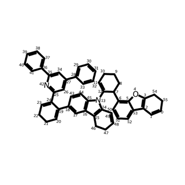 C1=Cc2c(oc3c(C4CCCC=C4n4c5c(c6cc(C7=CCCC=C7c7cc(-c8ccccc8)cc(-c8ccccc8)n7)ccc64)CCC=C5)cccc23)CC1